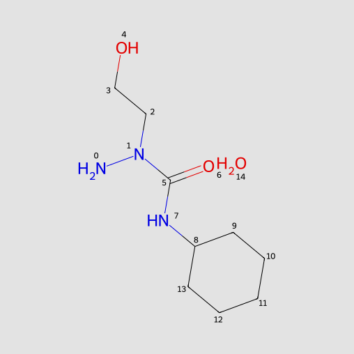 NN(CCO)C(=O)NC1CCCCC1.O